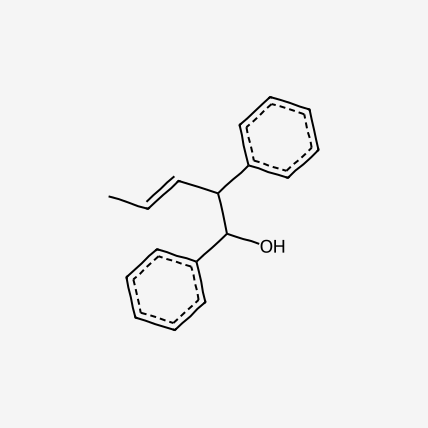 CC=CC(c1ccccc1)C(O)c1ccccc1